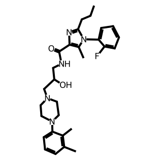 CCCc1nc(C(=O)NCC(O)CN2CCN(c3cccc(C)c3C)CC2)c(C)n1-c1ccccc1F